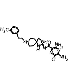 Cc1cccc(CCSN2CCC3(CC2)CN/C(=N\C(=O)c2nc(Cl)c(N)nc2N)N3)c1